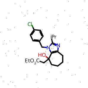 CCOC(=O)CC1(O)CCCCc2nc(C(C)C)n(Cc3ccc(Cl)cc3)c21